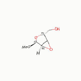 CO[C@H]1O[C@H](CO)C2O[C@H]21